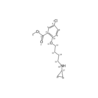 COC(=O)c1cc(Cl)ccc1OCCCCNC1CC1